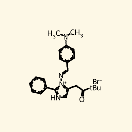 CN(C)c1ccc(C=N[n+]2c(CC(=O)C(C)(C)C)c[nH]c2-c2ccccc2)cc1.[Br-]